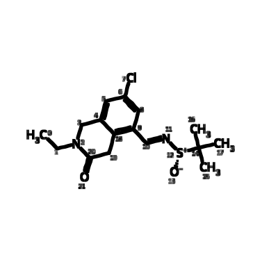 CCN1Cc2cc(Cl)cc(C=N[S@@+]([O-])C(C)(C)C)c2CC1=O